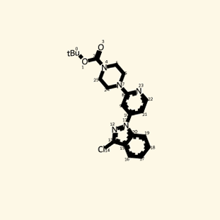 CC(C)(C)OC(=O)N1CCN(c2cc(-n3nc(Cl)c4ccccc43)ccn2)CC1